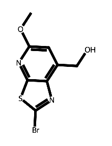 COc1cc(CO)c2nc(Br)sc2n1